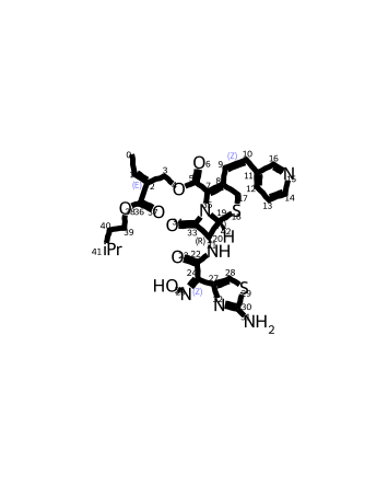 C/C=C(\COC(=O)C1=C(/C=C\c2cccnc2)CS[C@@H]2[C@H](NC(=O)/C(=N\O)c3csc(N)n3)C(=O)N12)C(=O)OCCC(C)C